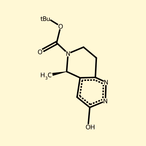 C[C@@H]1c2cc(O)nnc2CCN1C(=O)OC(C)(C)C